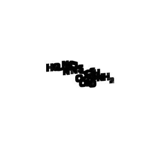 NC1C(=O)N2C(C(=O)O)=C(CSc3ccn4nc(CO)nc4n3)CS[C@@H]12